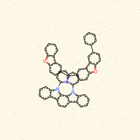 c1ccc(-c2ccc3oc4ccc(-c5cccc(-n6c7ccccc7c7ccc8c9ccccc9n(-c9cccc(-c%10ccc%11oc%12ccccc%12c%11c%10)n9)c8c76)n5)cc4c3c2)cc1